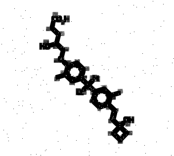 CCC(CC)(c1ccc(C=CC2(O)CCC2)c(C)c1)c1ccc(OCC(O)CCC(=O)O)c(C)c1